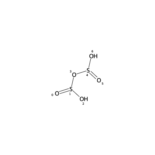 O=S(O)OS(=O)O